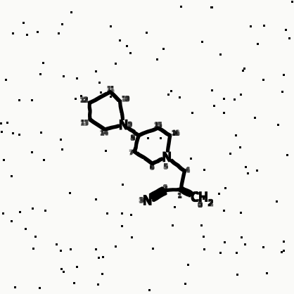 C=C(C#N)CN1CCC(N2CCCCC2)CC1